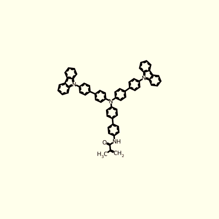 C=C(C)C(=O)Nc1ccc(-c2ccc(N(c3ccc(-c4ccc(-n5c6ccccc6c6ccccc65)cc4)cc3)c3ccc(-c4ccc(-n5c6ccccc6c6ccccc65)cc4)cc3)cc2)cc1